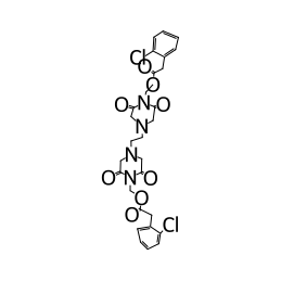 O=C(Cc1ccccc1Cl)OCN1C(=O)CN(CCN2CC(=O)N(COC(=O)Cc3ccccc3Cl)C(=O)C2)CC1=O